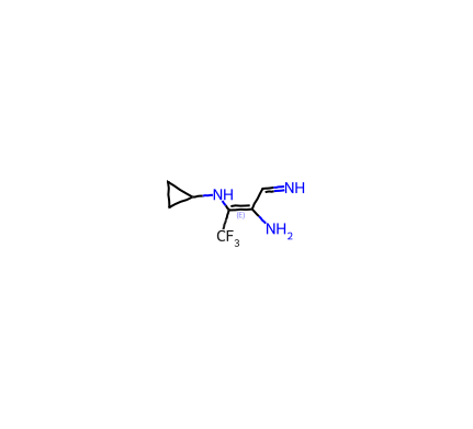 N=C/C(N)=C(\NC1CC1)C(F)(F)F